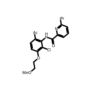 COCCOc1ccc(C(C)=O)c(NC(=O)c2cccc(C(C)C)n2)c1Cl